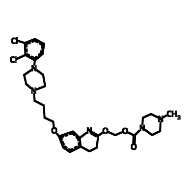 CN1CCN(C(=O)OCOC2=Nc3cc(OCCCCN4CCN(c5cccc(Cl)c5Cl)CC4)ccc3CC2)CC1